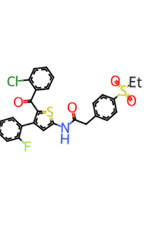 CCS(=O)(=O)c1ccc(CC(=O)Nc2cc(-c3ccccc3F)c(C(=O)c3ccccc3Cl)s2)cc1